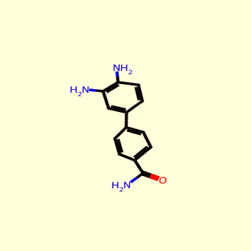 NC(=O)c1ccc(-c2ccc(N)c(N)c2)cc1